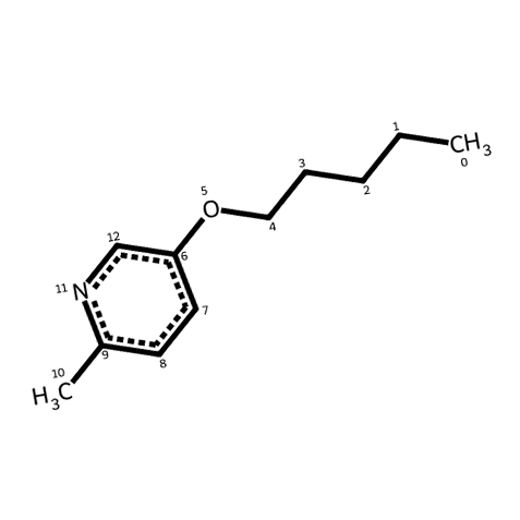 CCCCCOc1ccc(C)nc1